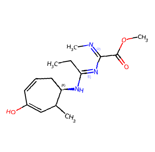 CC/C(=N\C(=N/C)C(=O)OC)N[C@@H]1CC=CC(O)=CC1C